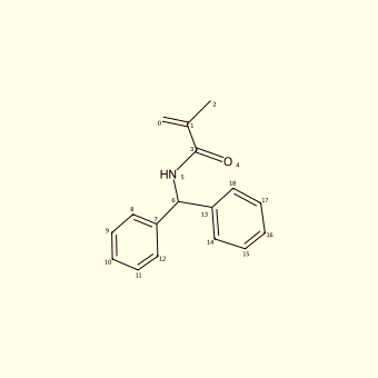 C=C(C)C(=O)NC(c1ccccc1)c1ccccc1